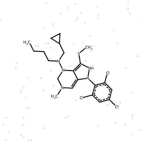 CCCCN(CC1CC1)N1CN(C)C=C2C1=C(SC)NN2c1c(Cl)cc(Cl)cc1Cl